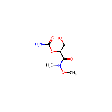 CON(C)C(=O)[C@H](CO)OC(N)=O